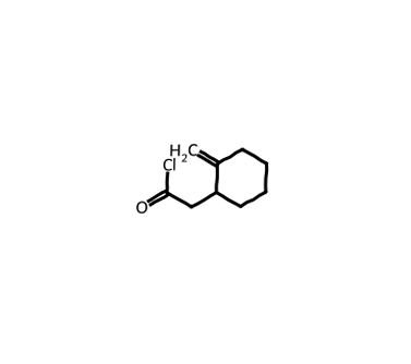 C=C1CCCCC1CC(=O)Cl